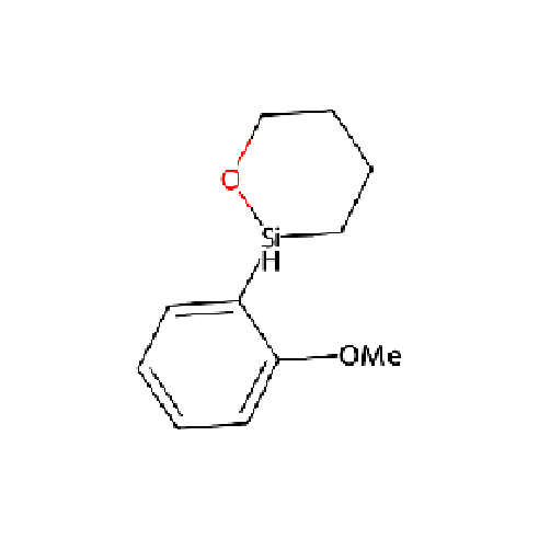 COc1ccccc1[SiH]1CCCCO1